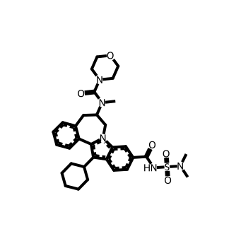 CN(C(=O)N1CCOCC1)C1Cc2ccccc2-c2c(C3CCCCC3)c3ccc(C(=O)NS(=O)(=O)N(C)C)cc3n2C1